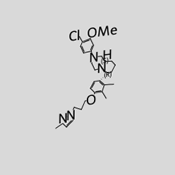 COc1cc(N2CCN3[C@@H](CCC[C@@H]3c3ccc(OCCCn4ccc(C)n4)c(C)c3C)C2)ccc1Cl